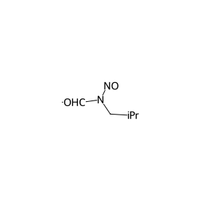 CC(C)CN([C]=O)N=O